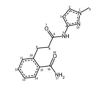 Cn1ccc(NC(=O)C[CH]c2ccccc2C(N)=O)n1